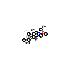 CCC(C)c1ccccc1-c1cccc(N(c2ccc(C(C)C)cc2)c2cc(C(C)C)c3ccc4c(N(c5ccc(C(C)C)cc5)c5cccc6c5oc5ccccc56)cc(C(C)C)c5ccc2c3c54)c1C